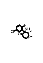 C[C@H]1CCC(=O)C(N)(c2cc(Cl)ccc2F)C1